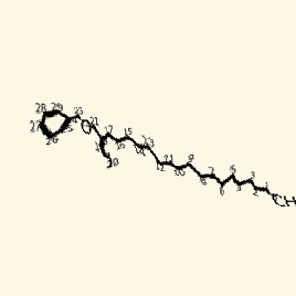 CCCCCCCCCCCCCCCCCCC(=CI)COCc1ccccc1